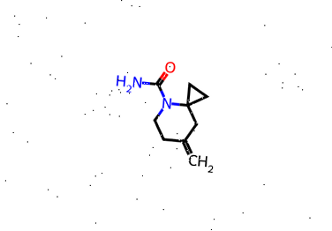 C=C1CCN(C(N)=O)C2(CC2)C1